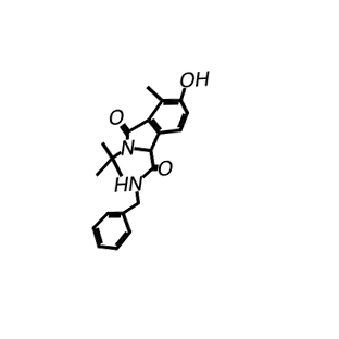 Cc1c(O)ccc2c1C(=O)N(C(C)(C)C)C2C(=O)NCc1ccccc1